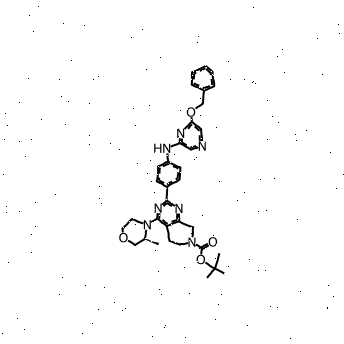 C[C@H]1COCCN1c1nc(-c2ccc(Nc3cncc(OCc4ccccc4)n3)cc2)nc2c1CCN(C(=O)OC(C)(C)C)C2